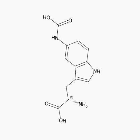 N[C@@H](Cc1c[nH]c2ccc(NC(=O)O)cc12)C(=O)O